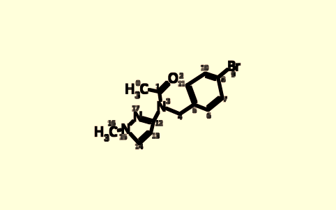 CC(=O)N(Cc1ccc(Br)cc1)c1ccn(C)n1